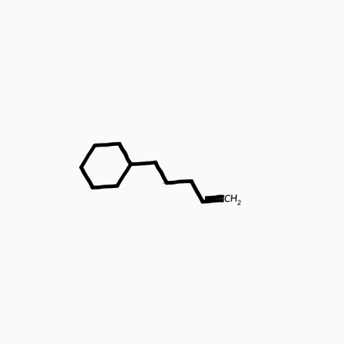 C=CC[CH]CC1CCCCC1